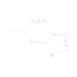 CC(C)c1ccn2ncnc2n1